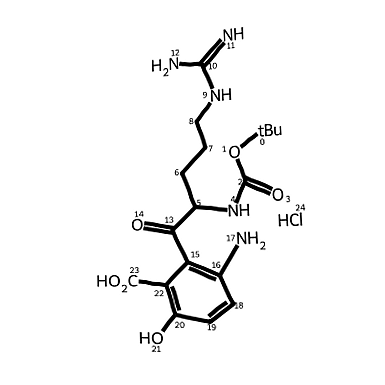 CC(C)(C)OC(=O)NC(CCCNC(=N)N)C(=O)c1c(N)ccc(O)c1C(=O)O.Cl